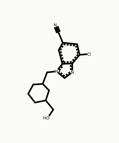 N#Cc1cc(Cl)c2ncn(CC3CCCC(CO)C3)c2c1